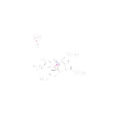 Cc1ccc(S(=O)(=O)Oc2cc(S(=O)(=O)O)cc3cc(S(=O)(=O)O)cc(N=Nc4cc(OCCCSOOO)c(N)cc4C)c23)cc1